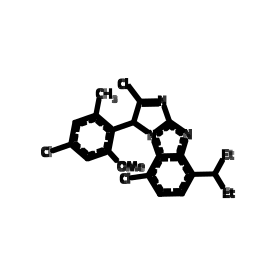 CCC(CC)c1ccc(Cl)c2c1nc1n2C(c2c(C)cc(Cl)cc2OC)C(Cl)=N1